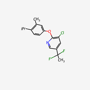 Cc1cc(Oc2ncc(C(C)(F)F)cc2Cl)ccc1C(C)C